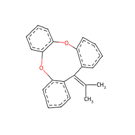 CC(C)=C1c2ccccc2Oc2ccccc2Oc2ccccc21